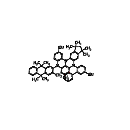 Cc1cc2c3c(c1)N(c1ccc(C(C)(C)C)cc1-c1ccccc1)c1cc4c(cc1B3c1cc(C(C)(C)C)ccc1N2c1cc2c(cc1C)C(C)(C)c1ccccc1C2(C)C)C(C)(C)CC4(C)C